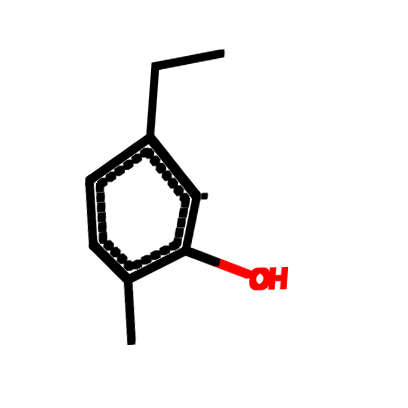 CCc1[c]c(O)c(C)cc1